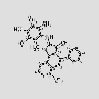 Cc1c(C)c(C)c(Nc2nc3c4cccc(C)c4cc(-c4ccccc4)n3c2C)c(C)c1C